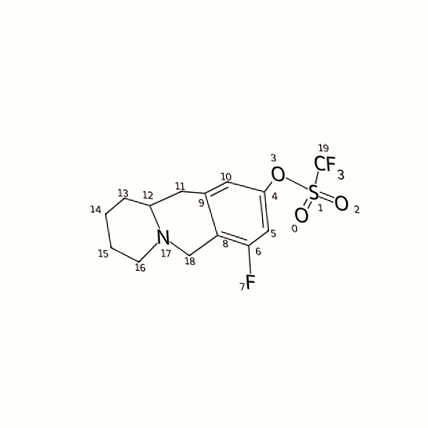 O=S(=O)(Oc1cc(F)c2c(c1)CC1CCCCN1C2)C(F)(F)F